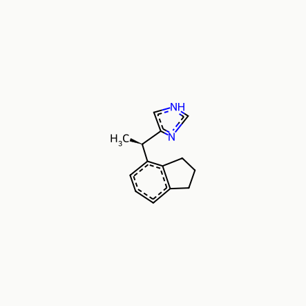 C[C@@H](c1c[nH]cn1)c1cccc2c1CCC2